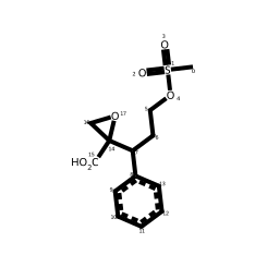 CS(=O)(=O)OCCC(c1ccccc1)C1(C(=O)O)CO1